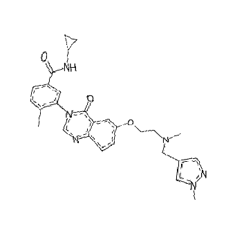 Cc1ccc(C(=O)NC2CC2)cc1-n1cnc2ccc(OCCN(C)Cc3cnn(C)c3)cc2c1=O